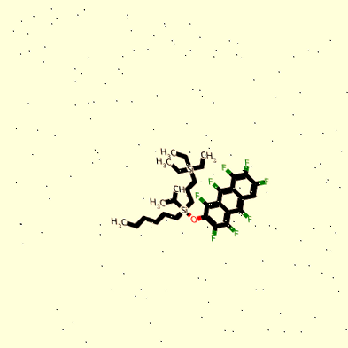 CCCCCC[Si](CCC[Si](CC)(CC)CC)(Oc1c(F)c(F)c2c(F)c3[c]c(F)c(F)c(F)c3c(F)c2c1F)C(C)C